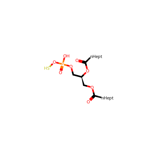 CCCCCCCC(=O)OC[C@@H](COP(=O)(O)OS)OC(=O)CCCCCCC